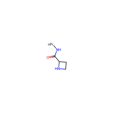 CCCNC(=O)C1CCN1